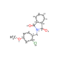 COc1ccc(CN2C(=O)c3ccccc3C2=O)c(Cl)c1